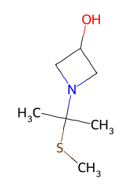 CSC(C)(C)N1CC(O)C1